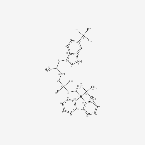 CC(Cc1c[nH]c2cc(C(F)(F)F)ccc12)NCC(F)(F)CO[Si](c1ccccc1)(c1ccccc1)C(C)(C)C